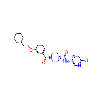 O=C(Nc1cnc(Cl)cn1)N1CCN(C(=O)c2cccc(OCCC3CCCCC3)c2)CC1